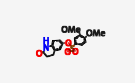 COc1ccc(S(=O)(=O)Oc2ccc3c(c2)CCC(=O)N3)cc1OC